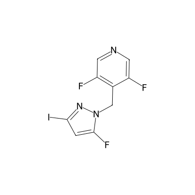 Fc1cncc(F)c1Cn1nc(I)cc1F